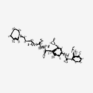 COc1cc(NC(=O)c2ccccc2F)ccc1C(=O)NNC(=S)NCCCN1CCCCC1